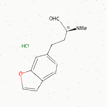 CN[C@H](C=O)CCc1ccc2ccoc2c1.Cl